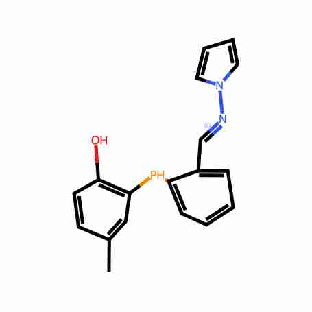 Cc1ccc(O)c(Pc2ccccc2/C=N/n2cccc2)c1